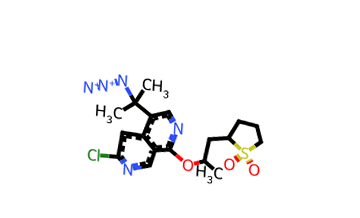 CC(CC1CCCS1(=O)=O)Oc1ncc(C(C)(C)N=[N+]=[N-])c2cc(Cl)ncc12